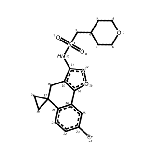 O=S(=O)(CC1CCOCC1)Nc1noc2c1CC1(CC1)c1ccc(Br)cc1-2